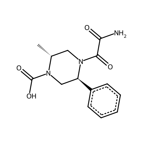 C[C@@H]1CN(C(=O)C(N)=O)[C@@H](c2ccccc2)CN1C(=O)O